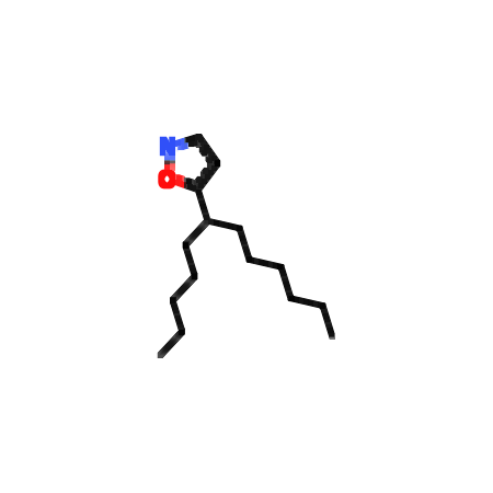 CCCCCCC(CCCCC)c1ccno1